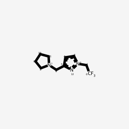 FC(F)(F)Cn1ccc(CN2CCCC2)n1